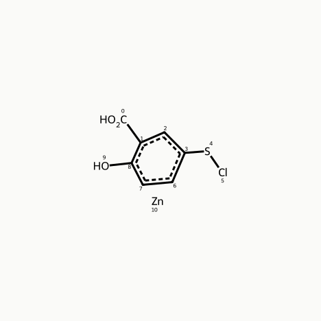 O=C(O)c1cc(SCl)ccc1O.[Zn]